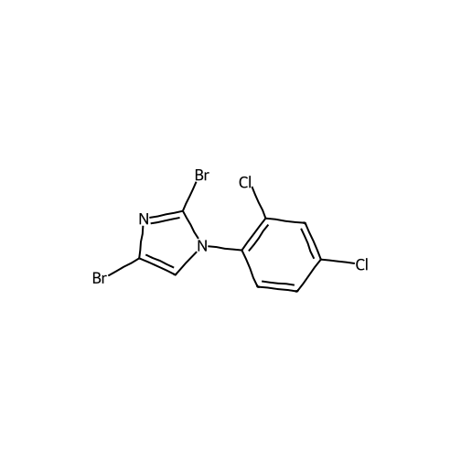 Clc1ccc(-n2cc(Br)nc2Br)c(Cl)c1